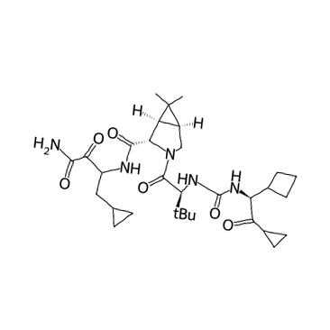 CC(C)(C)[C@H](NC(=O)N[C@H](C(=O)C1CC1)C1CCC1)C(=O)N1C[C@H]2[C@@H]([C@H]1C(=O)NC(CC1CC1)C(=O)C(N)=O)C2(C)C